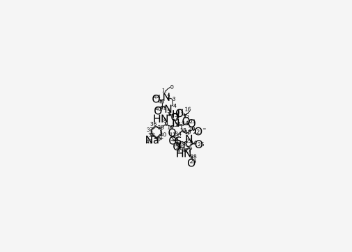 CCN1CCN(C(=O)NC(C(=O)NC(OC(C)=O)C2=C(C(=O)[O-])N3C(=O)[C@@H](NC=O)[C@H]3S(=O)(=O)C2)c2ccccc2)C(=O)C1=O.[Na+]